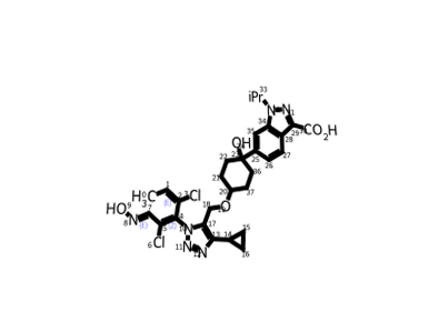 C\C=C(Cl)/C(=C(Cl)\C=N\O)n1nnc(C2CC2)c1COC1CCC(O)(c2ccc3c(C(=O)O)nn(C(C)C)c3c2)CC1